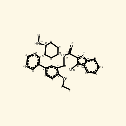 CCOc1ccc(-c2cncnc2)cc1CN(C(=O)c1sc2ccccc2c1Cl)[C@H]1CC[C@H](NC)CC1